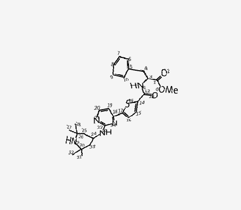 COC(=O)C(Cc1ccccc1)NC(=O)c1ccc(-c2ccnc(NC3CC(C)(C)NC(C)(C)C3)n2)s1